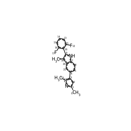 Cc1cc(-c2ccc3[nH]c(-c4c(F)cccc4F)c(C)c3c2)n(C)n1